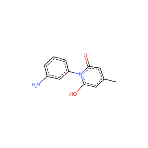 Cc1cc(O)n(-c2cccc(N)c2)c(=O)c1